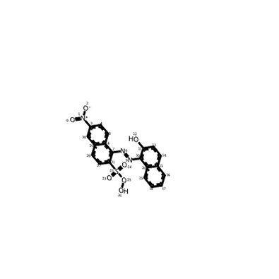 O=[N+]([O-])c1ccc2c(N=Nc3c(O)ccc4ccccc34)c(S(=O)(=O)OO)ccc2c1